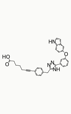 O=C(O)CCCCC#Cc1ccc(Cc2nnc(-c3cccc(Oc4ccc5[nH]ccc5c4)c3)[nH]2)cc1